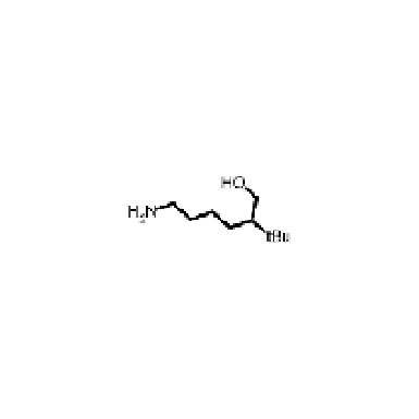 CC(C)(C)C(CO)CCCCN